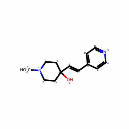 O=C(O)N1CCC(O)(C=Cc2ccncc2)CC1